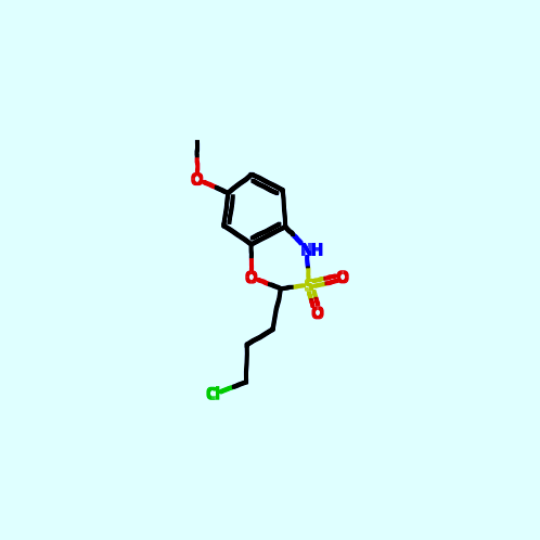 COc1ccc2c(c1)OC(CCCCl)S(=O)(=O)N2